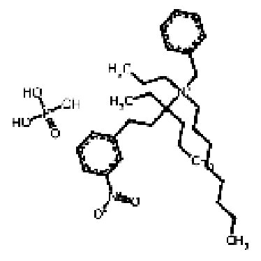 CCCCCCCC[N+](CCC)(Cc1ccccc1)C(CC)(CCC)CCc1cccc([N+](=O)[O-])c1.O=P(O)(O)O